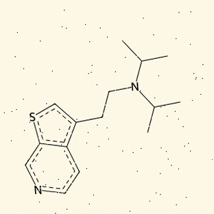 CC(C)N(CCc1csc2cnccc12)C(C)C